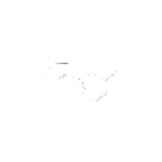 N=c1ccnc(-c2c[nH]cn2)[nH]1